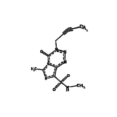 CC#CCn1nnc2c(S(=O)(=O)NC)nc(C)n2c1=O